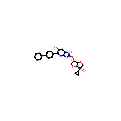 O[C@]1(C2CC2)COC2C1OC[C@H]2Oc1nc2nc(-c3ccc(-c4ccccc4)cc3)c(Cl)cc2[nH]1